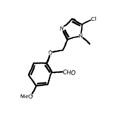 COc1ccc(OCc2ncc(Cl)n2C)c(C=O)c1